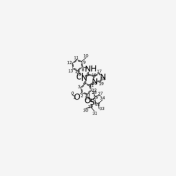 COc1cc2nc(Nc3c(C)cccc3Cl)c3cncn3c2cc1O[Si](C(C)C)(C(C)C)C(C)C